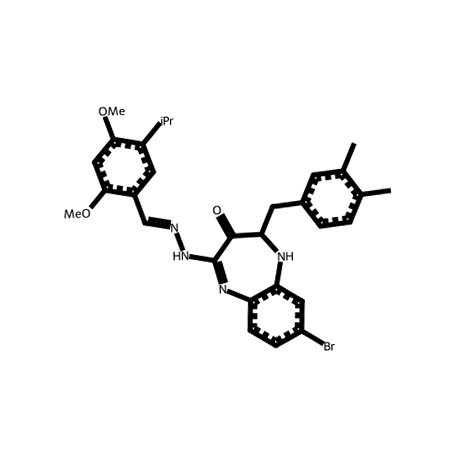 COc1cc(OC)c(C(C)C)cc1C=NNC1=Nc2ccc(Br)cc2NC(Cc2ccc(C)c(C)c2)C1=O